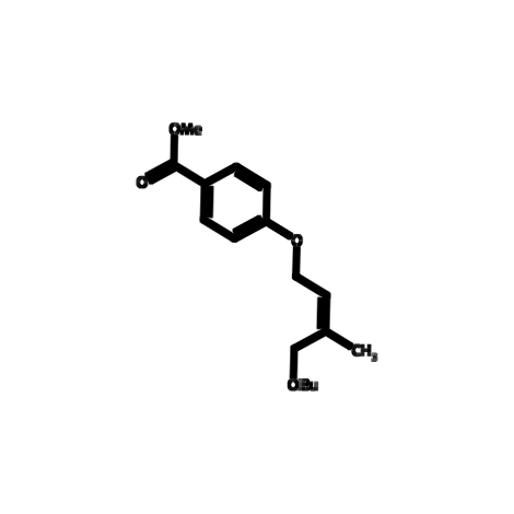 COC(=O)c1ccc(OCC=C(C)COCC(C)C)cc1